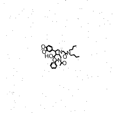 CCCCN(CCCC)C(=O)CN1CC(c2ccc3c(c2)OCO3)C(C(=O)O)C1CN(Cc1ccccc1)C(C)=O